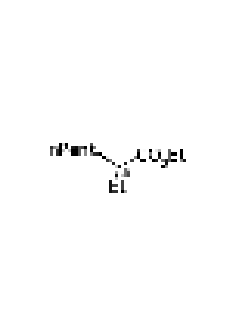 CCCCC[C@H](CC)C(=O)OCC